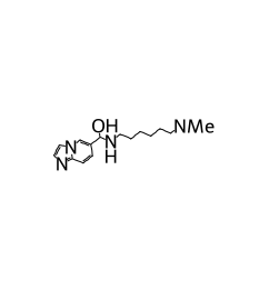 CNCCCCCCNC(O)c1ccc2nccn2c1